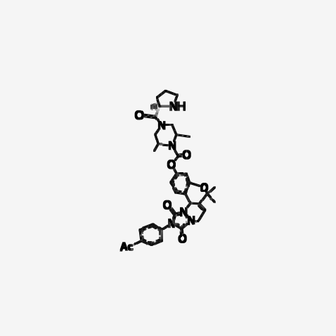 CC(=O)c1ccc(-n2c(=O)n3n(c2=O)C2C(=CC3)C(C)(C)Oc3cc(OC(=O)N4C(C)CN(C(=O)[C@@H]5CCCN5)CC4C)ccc32)cc1